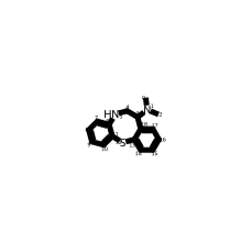 CN(C)C1CNc2ccccc2Sc2ccccc21